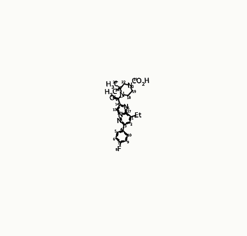 CCc1cc(-c2ccc(F)cc2)nn2cc(C(=O)N3CCN(C(=O)O)CC3(C)C)nc12